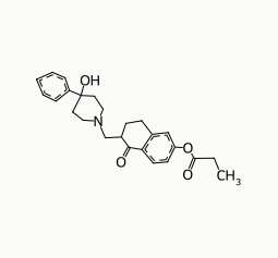 CCC(=O)Oc1ccc2c(c1)CCC(CN1CCC(O)(c3ccccc3)CC1)C2=O